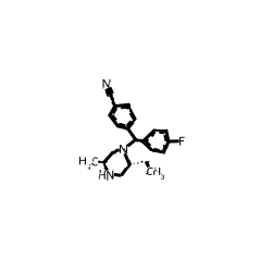 CC[C@@H]1CN[C@@H](C)CN1C(c1ccc(F)cc1)c1ccc(C#N)cc1